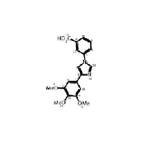 COc1cc(-c2cn(-c3cccc(C(=O)O)c3)cn2)cc(OC)c1OC